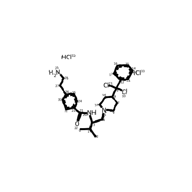 CC(C)C(CN1CCC(C(Cl)(Cl)c2ccccc2)CC1)NC(=O)c1ccc(CCN)cc1.Cl.Cl